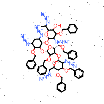 CC(N=[N+]=[N-])C1O[C@H](O[C@@H]2C(N=[N+]=[N-])CC(N=[N+]=[N-])C(OCc3ccccc3)C2O[C@@H]2O[C@H](COCc3ccccc3)C(O[C@H]3OC(CN=[N+]=[N-])[C@@H](OCc4ccccc4)C(OCc4ccccc4)C3N=[N+]=[N-])C2OCc2ccccc2)C(N=[N+]=[N-])C(OCc2ccccc2)[C@@H]1O